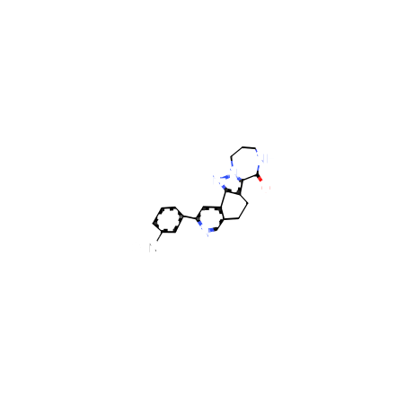 O=C1NCCCn2nc3c(c21)CCc1cnc(-c2cccc([N+](=O)[O-])c2)cc1-3